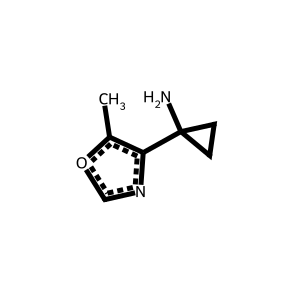 Cc1ocnc1C1(N)CC1